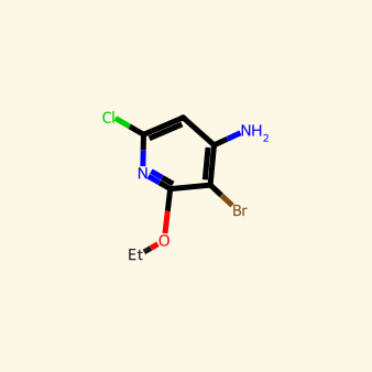 CCOc1nc(Cl)cc(N)c1Br